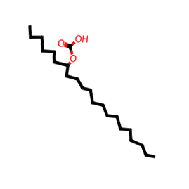 CCCCCCCCCCCCCCC(CCCCCC)OC(=O)O